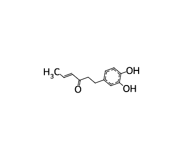 C/C=C/C(=O)CCc1ccc(O)c(O)c1